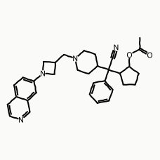 CC(=O)OC1CCCC1C(C#N)(c1ccccc1)C1CCN(CC2CN(c3ccc4ccncc4c3)C2)CC1